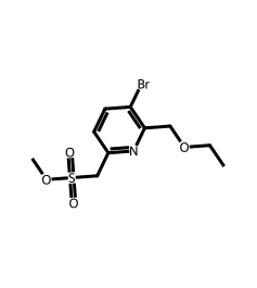 CCOCc1nc(CS(=O)(=O)OC)ccc1Br